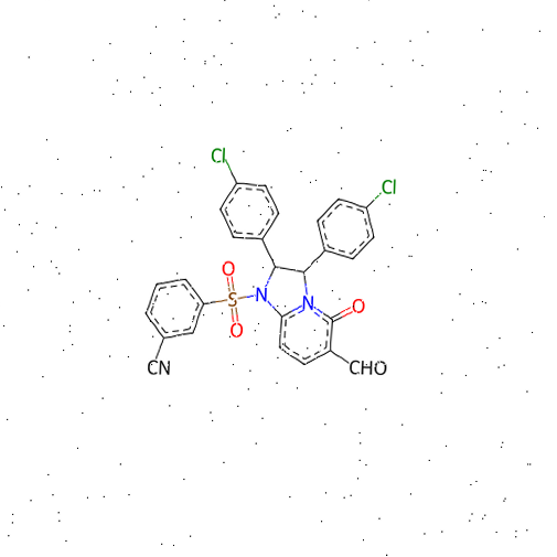 N#Cc1cccc(S(=O)(=O)N2c3ccc(C=O)c(=O)n3C(c3ccc(Cl)cc3)C2c2ccc(Cl)cc2)c1